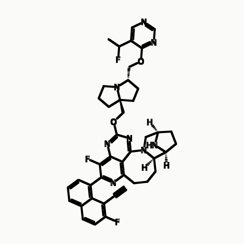 C#Cc1c(F)ccc2cccc(-c3nc4c5c(nc(OC[C@@]67CCCN6[C@H](COc6ncncc6C(C)F)CC7)nc5c3F)N3C[C@H]5CC[C@H](N5)[C@H]3CCC4)c12